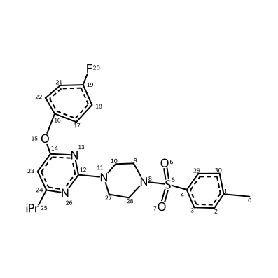 Cc1ccc(S(=O)(=O)N2CCN(c3nc(Oc4ccc(F)cc4)cc(C(C)C)n3)CC2)cc1